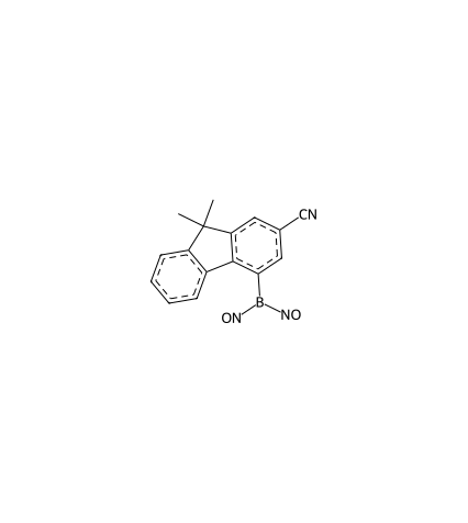 CC1(C)c2ccccc2-c2c(B(N=O)N=O)cc(C#N)cc21